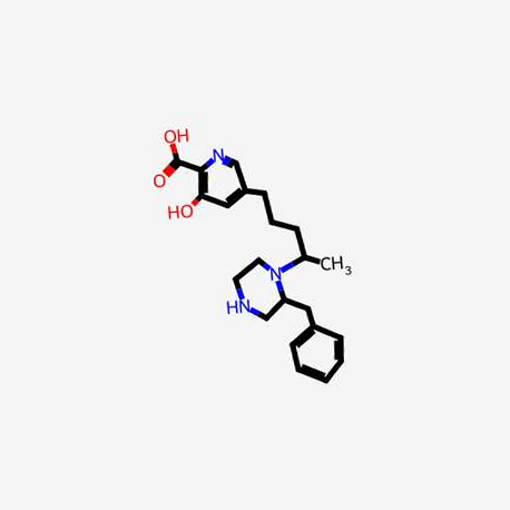 CC(CCCc1cnc(C(=O)O)c(O)c1)N1CCNCC1Cc1ccccc1